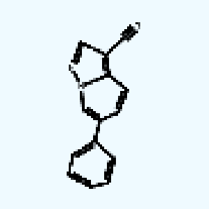 N#Cc1cnn2cc(-c3ccccc3)ccc12